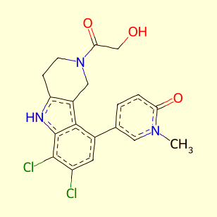 Cn1cc(-c2cc(Cl)c(Cl)c3[nH]c4c(c23)CN(C(=O)CO)CC4)ccc1=O